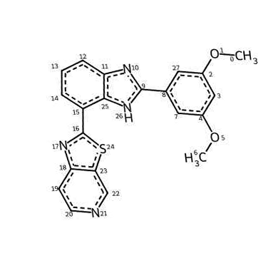 COc1cc(OC)cc(-c2nc3cccc(-c4nc5ccncc5s4)c3[nH]2)c1